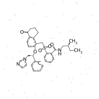 CC[C@H](C)CNC(=O)c1ccccc1S(=O)(=O)Cc1c(O[C@H](Cn2ccnc2)c2ccccc2)ccc2c1CCCC2=O